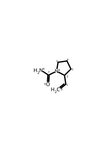 C=CC1CCCN1C(N)=O